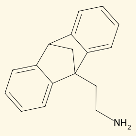 NCCC12CC(c3ccccc31)c1ccccc12